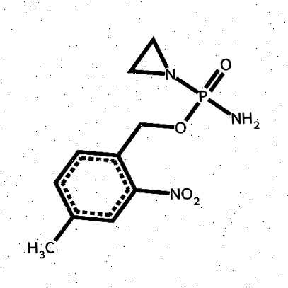 Cc1ccc(COP(N)(=O)N2CC2)c([N+](=O)[O-])c1